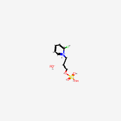 O=S(=O)(O)OCCC[n+]1ccccc1Cl.[OH-]